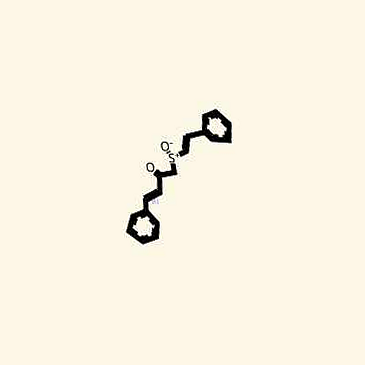 O=C(/C=C/c1ccccc1)C[S+]([O-])C=Cc1ccccc1